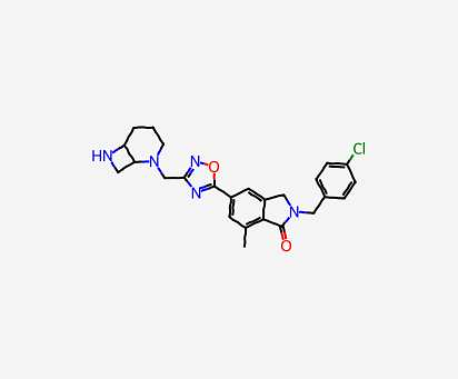 Cc1cc(-c2nc(CN3CCCC4NCC43)no2)cc2c1C(=O)N(Cc1ccc(Cl)cc1)C2